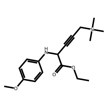 CCOC(=O)C(C#CC[Si](C)(C)C)Nc1ccc(OC)cc1